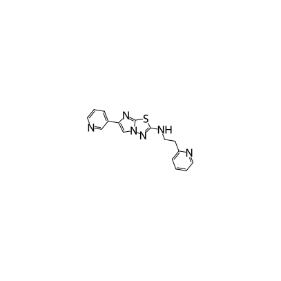 c1ccc(CCNc2nn3cc(-c4cccnc4)nc3s2)nc1